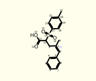 C/C(=C/c1ccccc1)CC(C(=O)O)S(=O)(=O)c1ccc(C)cc1